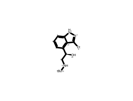 CCc1n[nH]c2cccc([C@@H](O)CNC(C)(C)C)c12